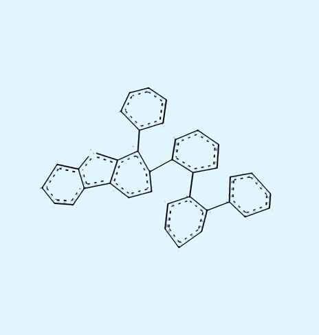 c1ccc(-c2ccccc2-c2ccccc2-c2ccc3c([nH]c4ccccc43)c2-c2ccccc2)cc1